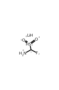 NC(F)[SH](=O)=O.[LiH]